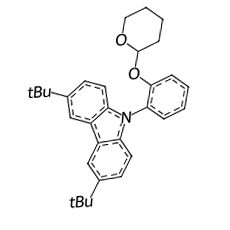 CC(C)(C)c1ccc2c(c1)c1cc(C(C)(C)C)ccc1n2-c1ccccc1OC1CCCCO1